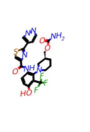 NC(=O)OC[C@H]1CCCN(c2c(NC(=O)c3csc(-c4ccnnc4)n3)ccc(O)c2C(F)(F)F)C1